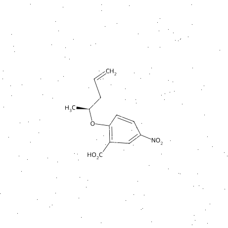 C=CC[C@H](C)Oc1ccc([N+](=O)[O-])cc1C(=O)O